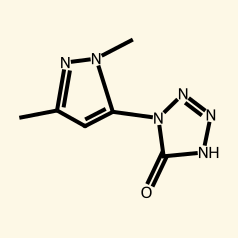 Cc1cc(-n2nn[nH]c2=O)n(C)n1